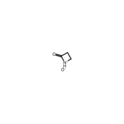 O=C1CC[NH+]1[O-]